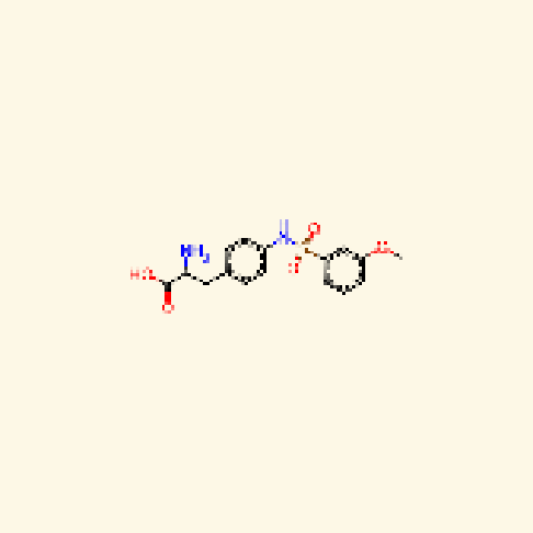 COc1cccc(S(=O)(=O)Nc2ccc(C[C@H](N)C(=O)O)cc2)c1